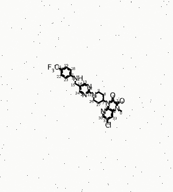 Cn1c(=O)c(=O)n(C2CCN(c3ncc(CNc4ccc(C(F)(F)F)cc4)cn3)CC2)c2ncc(Cl)cc21